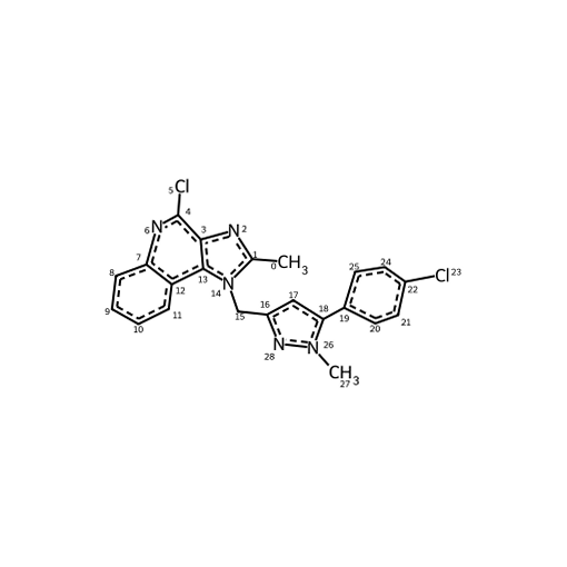 Cc1nc2c(Cl)nc3ccccc3c2n1Cc1cc(-c2ccc(Cl)cc2)n(C)n1